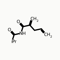 C=CCC(=C)C(=O)NC(=O)C(C)C